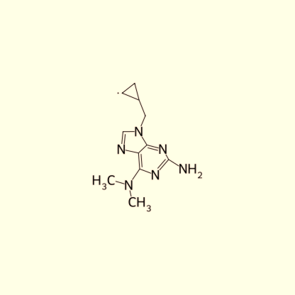 CN(C)c1nc(N)nc2c1ncn2CC1[CH]C1